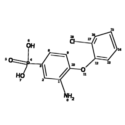 Nc1cc(P(=O)(O)O)ccc1Oc1ccccc1Cl